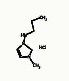 CCCNN1C=CN(C)C1.Cl